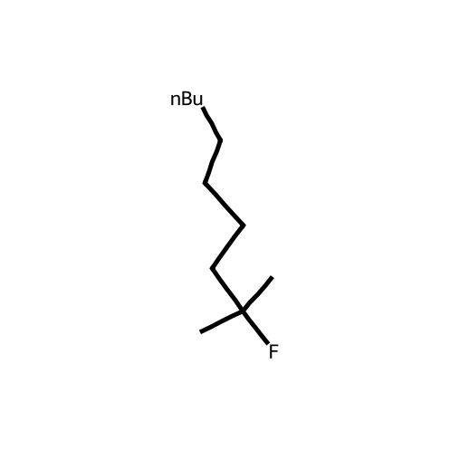 CCCCCCCCC(C)(C)F